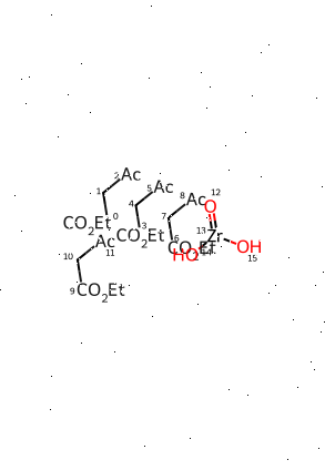 CCOC(=O)CC(C)=O.CCOC(=O)CC(C)=O.CCOC(=O)CC(C)=O.CCOC(=O)CC(C)=O.[O]=[Zr]([OH])[OH]